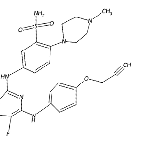 C#CCOc1ccc(Nc2nc(Nc3ccc(N4CCN(C)CC4)c(S(N)(=O)=O)c3)ncc2F)cc1